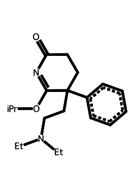 CCN(CC)CCC1(c2ccccc2)CCC(=O)N=C1OC(C)C